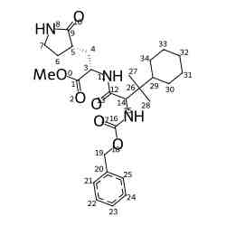 COC(=O)[C@H](C[C@@H]1CCNC1=O)NC(=O)C(NC(=O)OCc1ccccc1)C(C)(C)C1CCCCC1